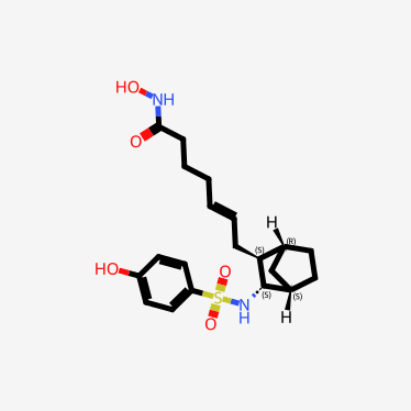 O=C(CCCC=CC[C@H]1[C@@H]2CC[C@@H](C2)[C@@H]1NS(=O)(=O)c1ccc(O)cc1)NO